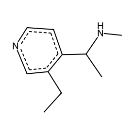 CCc1cnccc1C(C)NC